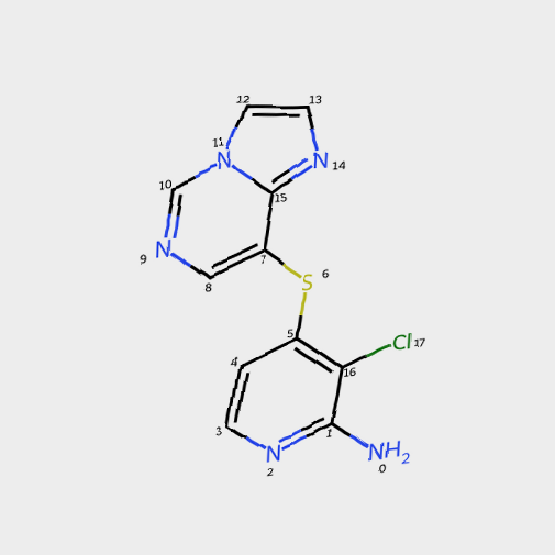 Nc1nccc(Sc2cncn3ccnc23)c1Cl